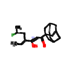 CCC(CC(C)F)/C(O)=C/C(=O)C12CC3CC(CC(C3)C1)C2